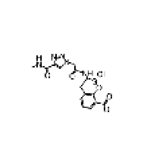 CNC(=O)c1cn(CC(=O)NC2Cc3cccc(C(=O)O)c3OB2O)nn1